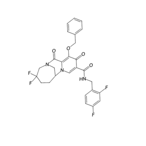 O=C(NCc1ccc(F)cc1F)c1cn2c(c(OCc3ccccc3)c1=O)C(=O)N1CC2CCC(F)(F)C1